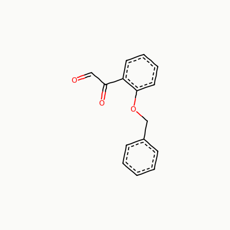 O=CC(=O)c1ccccc1OCc1ccccc1